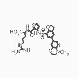 CN1CCOc2cc(-c3cc4c(c(S(=O)(=O)Nc5ccsc5C(=O)N[C@@H](CCCNC(=N)N)C(=O)O)c3)OCC4)cnc21